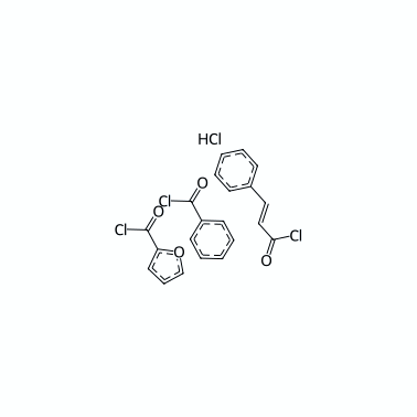 Cl.O=C(Cl)C=Cc1ccccc1.O=C(Cl)c1ccccc1.O=C(Cl)c1ccco1